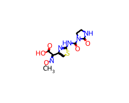 CON=C(C(=O)O)c1csc(NC(=O)N2CCNC2=O)n1